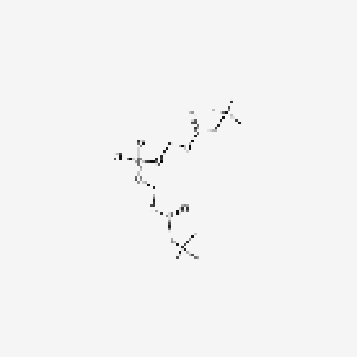 CC(C)(C)CC(=O)OCOP(=O)(Cl)OCOC(=O)CC(C)(C)C